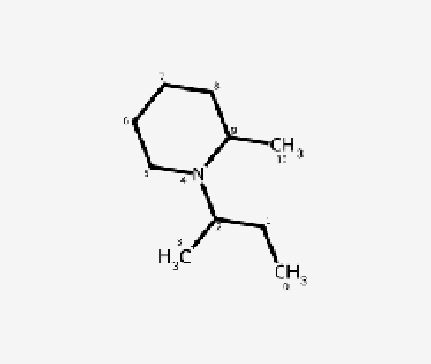 CCC(C)N1CCCCC1C